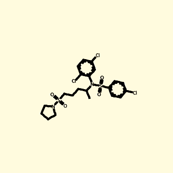 CC(CCCS(=O)(=O)N1CCCC1)N(c1cc(Cl)ccc1Cl)S(=O)(=O)c1ccc(Cl)cc1